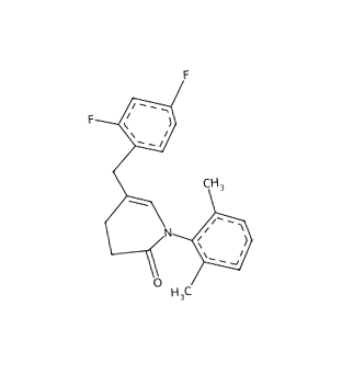 Cc1cccc(C)c1N1C=C(Cc2ccc(F)cc2F)CCC1=O